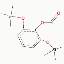 C[Si](C)(C)Oc1cccc(O[Si](C)(C)C)c1O[C]=O